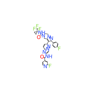 O=C(Nc1cn2nc(-c3c(-c4ccc(F)cc4)nn4c3CN(C(=O)NC3(C(F)(F)F)CC3)CC4)ccc2n1)c1ccnc(F)c1